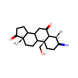 CC[C@H]1C(=N)CC[C@]2(CO)C3CC[C@]4(C)C(=O)CCC4C3CC(=O)C12